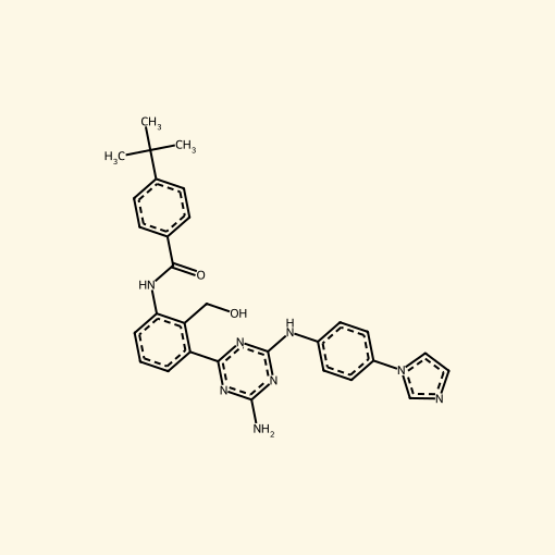 CC(C)(C)c1ccc(C(=O)Nc2cccc(-c3nc(N)nc(Nc4ccc(-n5ccnc5)cc4)n3)c2CO)cc1